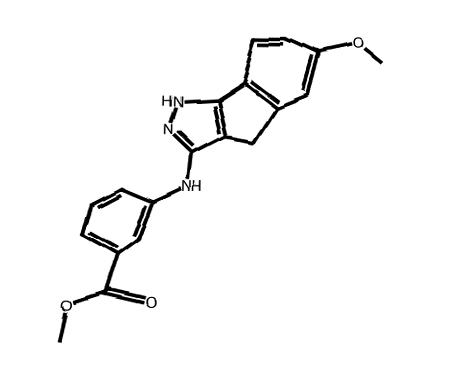 COC(=O)c1cccc(Nc2n[nH]c3c2Cc2cc(OC)ccc2-3)c1